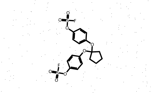 O=S(=O)(F)Oc1ccc(OC2(Oc3ccc(OS(=O)(=O)F)cc3)CCCC2)cc1